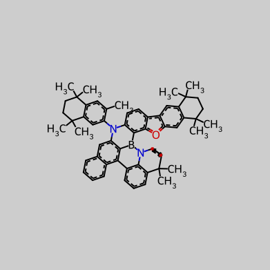 Cc1cc2c(cc1N1c3cc4ccccc4c4c3B(c3c1ccc1c3oc3cc5c(cc31)C(C)(C)CCC5(C)C)N1c3ccccc3C(C)(C)c3cccc-4c31)C(C)(C)CCC2(C)C